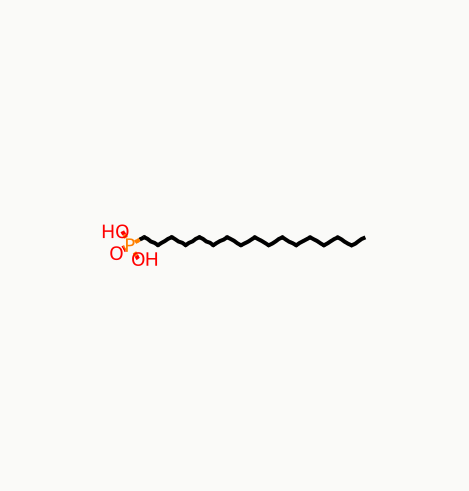 CCCCCCCCCCCCCCCCCP(=O)(O)O